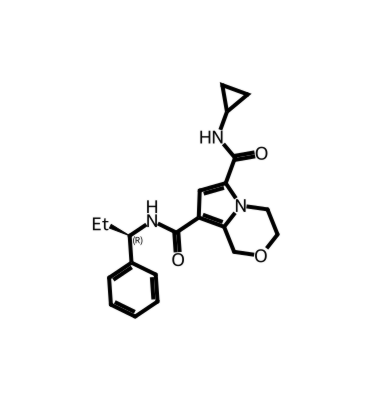 CC[C@@H](NC(=O)c1cc(C(=O)NC2CC2)n2c1COCC2)c1ccccc1